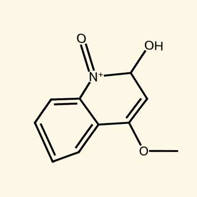 COC1=CC(O)[N+](=O)c2ccccc21